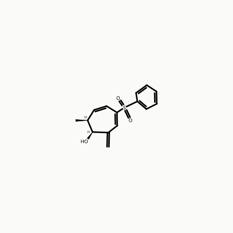 C=C1C=C(S(=O)(=O)c2ccccc2)C=C[C@H](C)[C@@H]1O